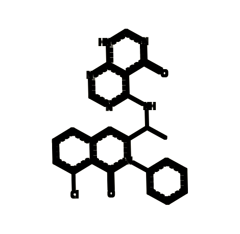 CC(Nc1ncnc2[nH]cnc(=O)c12)c1cc2cccc(Cl)c2c(=O)n1-c1ccccc1